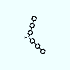 c1ccc(-c2ccc(-c3ccc(Nc4ccc(-c5ccc(-c6ccccc6)cc5)cc4)cc3)cc2)cc1